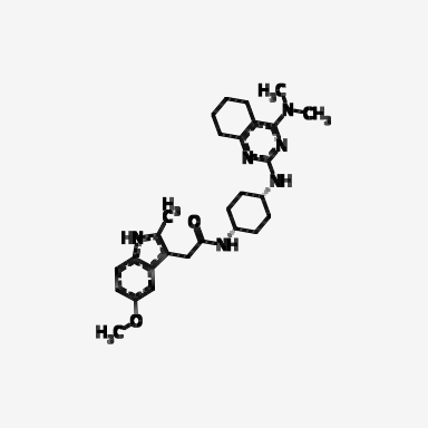 COc1ccc2[nH]c(C)c(CC(=O)N[C@H]3CC[C@@H](Nc4nc5c(c(N(C)C)n4)CCCC5)CC3)c2c1